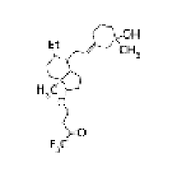 CCC1CC[C@@]2(C)C(CC[C@@H]2OCCC(=O)C(F)(F)F)C1C/C=C1\CCC[C@](C)(O)C1